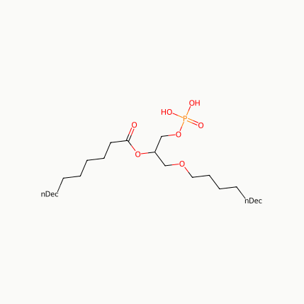 CCCCCCCCCCCCCCCC(=O)OC(COCCCCCCCCCCCCCC)COP(=O)(O)O